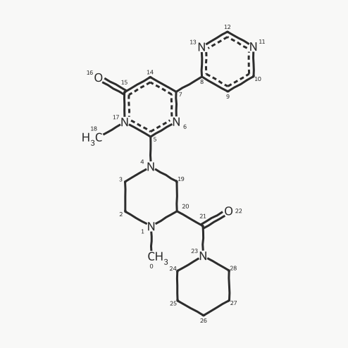 CN1CCN(c2nc(-c3ccncn3)cc(=O)n2C)CC1C(=O)N1CCCCC1